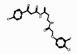 C=C(CCNC(=O)COc1ccc(Cl)c(F)c1)NC(=O)CC(=O)c1ccc(Cl)cc1